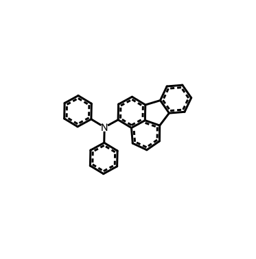 c1ccc(N(c2ccccc2)c2ccc3c4c(cccc24)-c2ccccc2-3)cc1